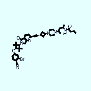 CCCC(=O)NC(C)CC(C)N1CCN([C@H]2C[C@H](C#Cc3ccc4c(n3)CN([C@H]3C(C)(C)[C@H](Oc5ccc(C#N)c(Br)c5)C3(C)C)C4=O)C2)CC1